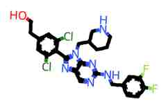 OCCc1cc(Cl)c(-c2nc3cnc(NCc4ccc(F)c(F)c4)nc3n2CC2CCCNC2)c(Cl)c1